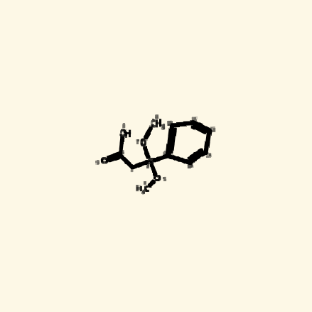 CO[Si](CC(=O)O)(OC)c1ccccc1